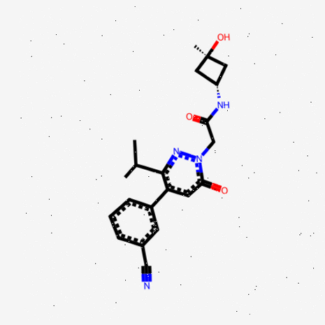 CC(C)c1nn(CC(=O)N[C@H]2C[C@](C)(O)C2)c(=O)cc1-c1cccc(C#N)c1